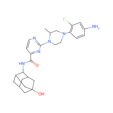 CC1CN(c2ccc(N)cc2F)CCN1c1nccc(C(=O)NC2C3CC4CC2CC(O)(C4)C3)n1